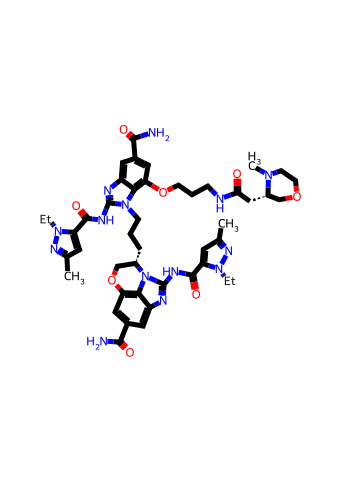 CCn1nc(C)cc1C(=O)Nc1nc2cc(C(N)=O)cc(OCCCNC(=O)C[C@H]3COCCN3C)c2n1CCC[C@H]1COc2cc(C(N)=O)cc3nc(NC(=O)c4cc(C)nn4CC)n1c23